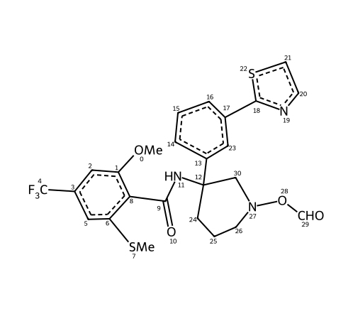 COc1cc(C(F)(F)F)cc(SC)c1C(=O)NC1(c2cccc(-c3nccs3)c2)CCCN(OC=O)C1